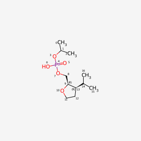 CC(C)OP(=O)(O)OC[C@@H]1OCC[C@@H]1C(C)C